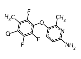 Cc1nc(N)ccc1Oc1c(F)c(C)c(Cl)c(F)c1F